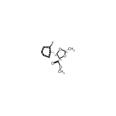 COC(=O)[C@H]1O[C@@H](C)O[C@H]1c1ccccc1F